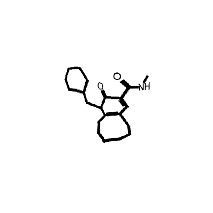 CNC(=O)C1=CC2=C(CCCCCC2)C(CC2CCCCC2)C1=O